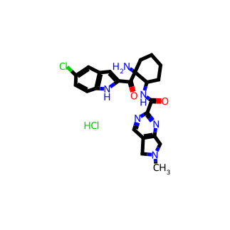 CN1Cc2cnc(C(=O)NC3CCCCC3(N)C(=O)c3cc4cc(Cl)ccc4[nH]3)nc2C1.Cl